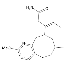 C/C=C(/CC(N)=O)C1Cc2nc(OC)ccc2CCC(C)C1